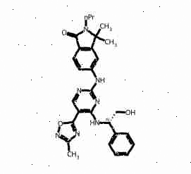 CCCN1C(=O)c2ccc(Nc3ncc(-c4nc(C)no4)c(N[C@H](CO)c4ccccc4)n3)cc2C1(C)C